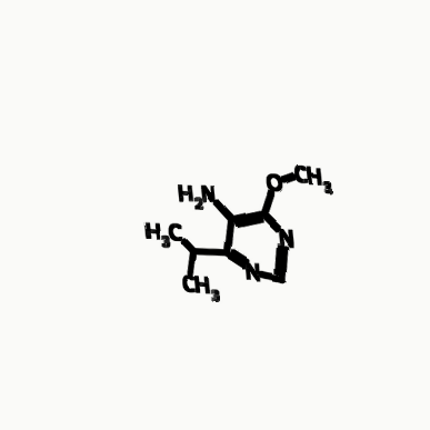 COc1ncnc(C(C)C)c1N